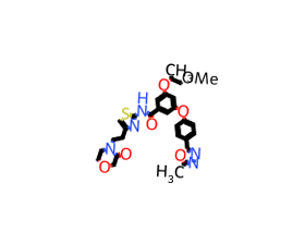 COCC(C)Oc1cc(Oc2ccc(-c3nnc(C)o3)cc2)cc(C(=O)Nc2nc(CCN3CCOCC3=O)cs2)c1